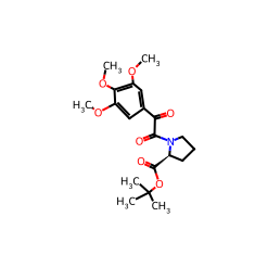 COc1cc(C(=O)C(=O)N2CCC[C@H]2C(=O)OC(C)(C)C)cc(OC)c1OC